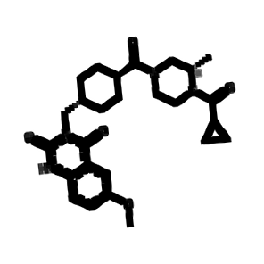 COc1ccc2[nH]c(=O)n(C[C@H]3CC[C@H](C(=O)N4CCN(C(=O)C5CC5)[C@@H](C)C4)CC3)c(=O)c2c1